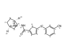 N#Cc1cccc(Sc2ccc(C(=O)N[C@@H]3C[C@H]4CC[C@@H]3N4)s2)c1